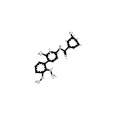 COc1cccc(-c2ccc(NC(=O)c3cccc(F)c3)nc2N)c1OC